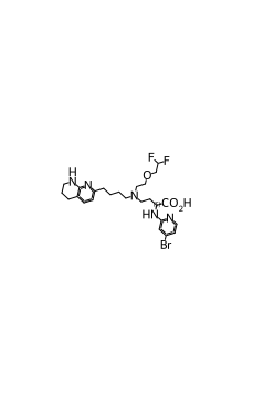 O=C(O)[C@H](CCN(CCCCc1ccc2c(n1)NCCC2)CCOCC(F)F)Nc1cc(Br)ccn1